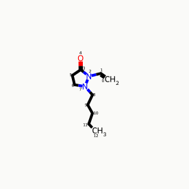 C=CN1C(=O)CCN1CCCCC